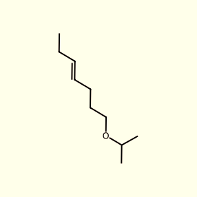 CC/C=C/CCCOC(C)C